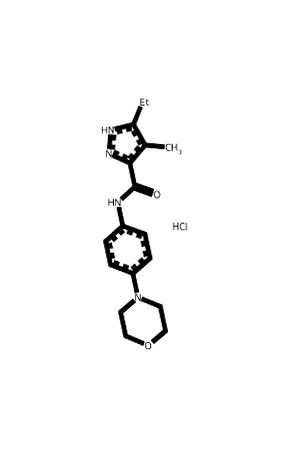 CCc1[nH]nc(C(=O)Nc2ccc(N3CCOCC3)cc2)c1C.Cl